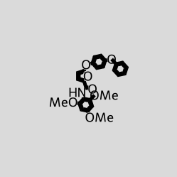 COc1cc(OC)c(NC(=O)c2ccc(Oc3ccc(Oc4ccccc4)cc3)o2)c(OC)c1